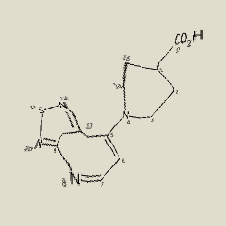 O=C(O)C1CCN(c2ccnc3nsnc23)CC1